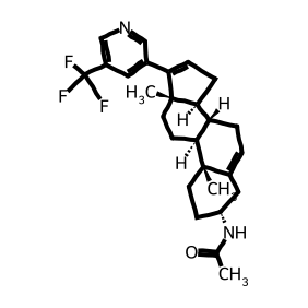 CC(=O)N[C@@H]1CC[C@@]2(C)C(=CC[C@@H]3[C@@H]2CC[C@]2(C)C(c4cncc(C(F)(F)F)c4)=CC[C@@H]32)C1